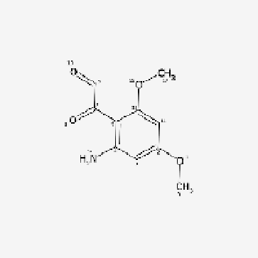 COc1cc(N)c(C(=O)C=O)c(OC)c1